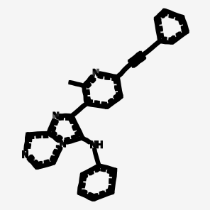 Cc1nc(C#Cc2ccccc2)ccc1-c1nc2cnccn2c1Nc1ccccc1